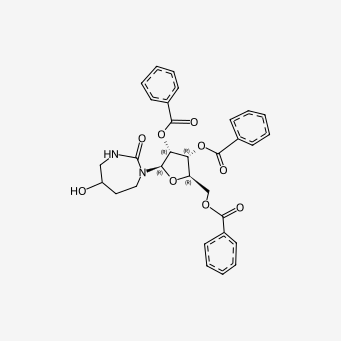 O=C(OC[C@H]1O[C@@H](N2CCC(O)CNC2=O)[C@H](OC(=O)c2ccccc2)[C@@H]1OC(=O)c1ccccc1)c1ccccc1